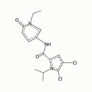 CCn1cc(NC(=O)c2cc(Cl)c(Cl)n2C(C)C)ccc1=O